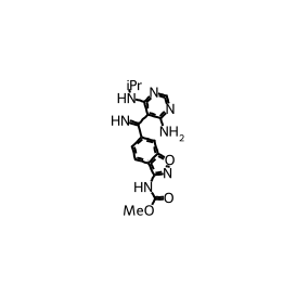 COC(=O)Nc1noc2cc(C(=N)c3c(N)ncnc3NC(C)C)ccc12